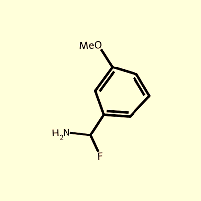 COc1cccc(C(N)F)c1